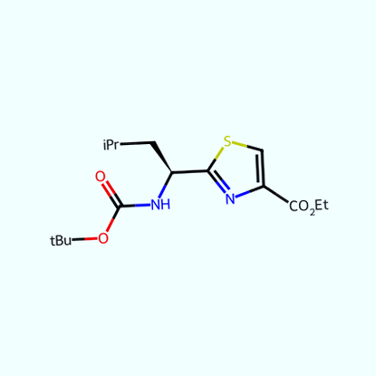 CCOC(=O)c1csc([C@H](CC(C)C)NC(=O)OC(C)(C)C)n1